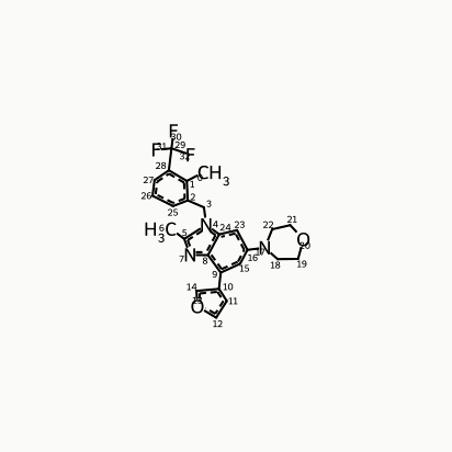 Cc1c(Cn2c(C)nc3c(-c4ccoc4)cc(N4CCOCC4)cc32)cccc1C(F)(F)F